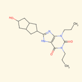 CCCn1c(=O)c2[nH]c(C3CC4CC(O)CC4C3)nc2n(CCC)c1=O